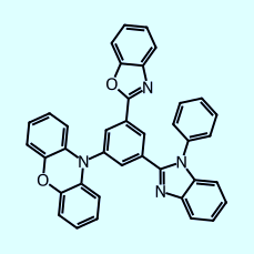 c1ccc(-n2c(-c3cc(-c4nc5ccccc5o4)cc(N4c5ccccc5Oc5ccccc54)c3)nc3ccccc32)cc1